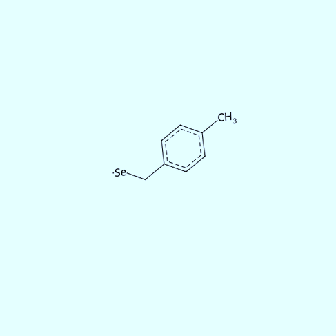 Cc1ccc(C[Se])cc1